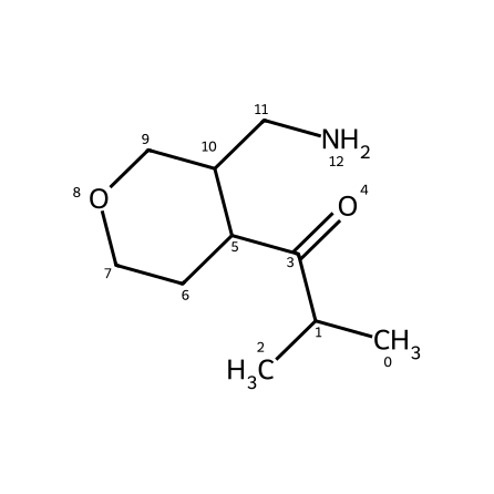 CC(C)C(=O)C1CCOCC1CN